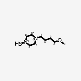 COCCCCN1CCN(S)CC1